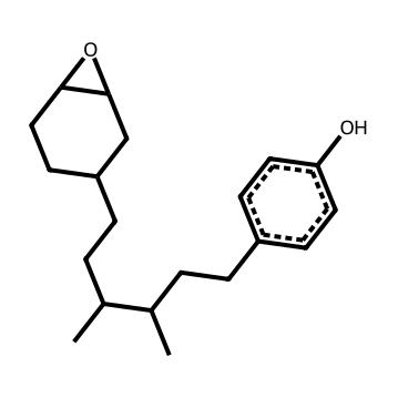 CC(CCc1ccc(O)cc1)C(C)CCC1CCC2OC2C1